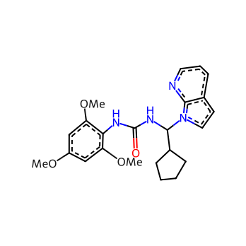 COc1cc(OC)c(NC(=O)NC(C2CCCC2)n2ccc3cccnc32)c(OC)c1